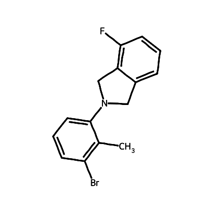 Cc1c(Br)cccc1N1Cc2cccc(F)c2C1